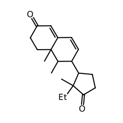 CCC1(C)C(=O)CCC1C1C=CC2=CC(=O)CCC2(C)C1C